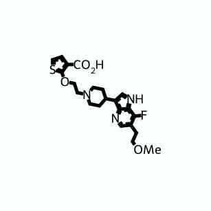 COCCc1cnc2c(C3CCN(CCOc4sccc4C(=O)O)CC3)c[nH]c2c1F